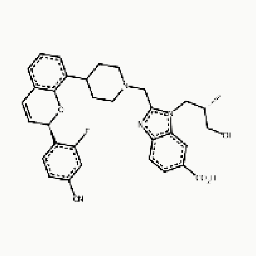 C[C@H](CO)Cn1c(CN2CCC(c3cccc4c3O[C@@H](c3ccc(C#N)cc3F)C=C4)CC2)nc2ccc(C(=O)O)cc21